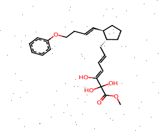 COC(=O)C(O)(O)/C(O)=C/C=C/C[C@H]1CCC[C@@H]1/C=C/CCOc1ccccc1